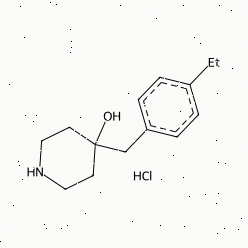 CCc1ccc(CC2(O)CCNCC2)cc1.Cl